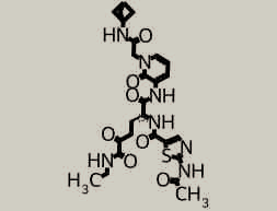 CCNC(=O)C(=O)CC[C@H](NC(=O)c1cnc(NC(C)=O)s1)C(=O)Nc1cccn(CC(=O)NC23CC(C2)C3)c1=O